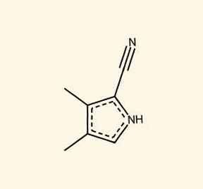 Cc1c[nH]c(C#N)c1C